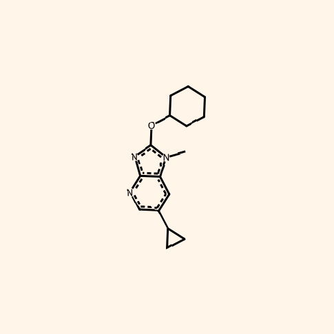 Cn1c(OC2CCCCC2)nc2ncc(C3CC3)cc21